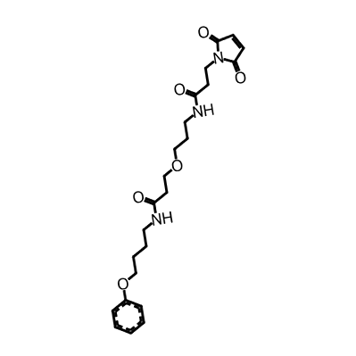 O=C(CCOCCCNC(=O)CCN1C(=O)C=CC1=O)NCCCCOc1ccccc1